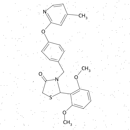 COc1cccc(OC)c1C1SCC(=O)N1Cc1ccc(Oc2cc(C)ccn2)cc1